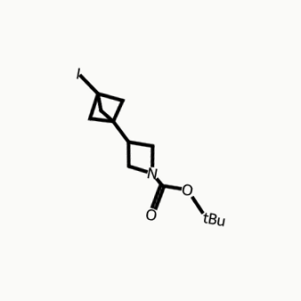 CC(C)(C)OC(=O)N1CC(C23CC(I)(C2)C3)C1